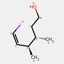 C[C@@H](/C=C\I)[C@@H](C)CCO